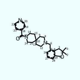 CC1(C)Cc2c(CN3CCC4(CC3)CCN(C(=O)c3ccncc3)CC4)cccc2O1